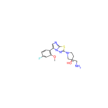 COc1cc(F)ccc1-c1cnc2sc(N3CC[C@](O)(CN)C3)nn12